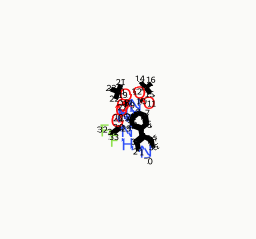 CN1CC=C(c2ccc(N(C(=O)OC(C)(C)C)C(=O)OC(C)(C)C)c([N+](=O)[O-])c2NCC(F)F)CC1